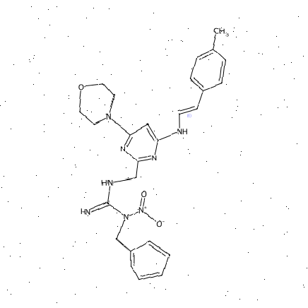 Cc1ccc(/C=C/Nc2cc(N3CCOCC3)nc(CNC(=N)N(Cc3ccccc3)[N+](=O)[O-])n2)cc1